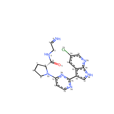 N=CCNC(=O)[C@H]1CCCN1c1ccnc(-c2c[nH]c3ncc(Cl)cc23)n1